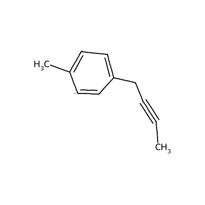 CC#CCc1c[c]c(C)cc1